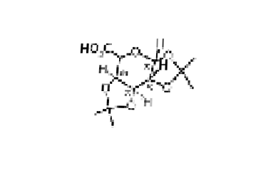 CC1(C)O[C@H]2OC(C(=O)O)[C@@H]3OC(C)(C)O[C@@H]3[C@H]2O1